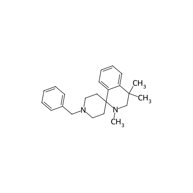 CN1CC(C)(C)c2ccccc2C12CCN(Cc1ccccc1)CC2